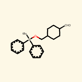 CC(C)(C)[Si](OCC1CCC(C=O)CC1)(c1ccccc1)c1ccccc1